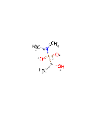 CC(O)S(=O)(=O)N(C)C